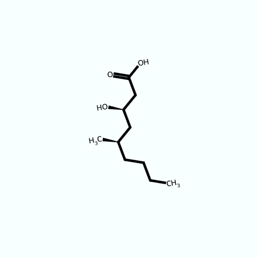 CCCC[C@@H](C)C[C@@H](O)CC(=O)O